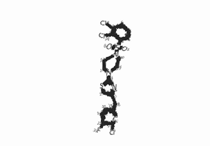 O=S(=O)(c1cccc(Cl)c1Cl)N1CCN(c2nc(Cc3ccc(F)c(Cl)c3)cs2)CC1